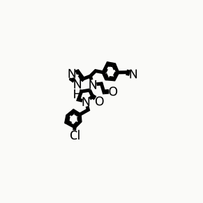 N#Cc1ccc(CC(c2cnc[nH]2)N(CC=O)C2CCN(Cc3cccc(Cl)c3)C2=O)cc1